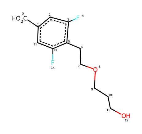 O=C(O)c1cc(F)c(CCOCCCO)c(F)c1